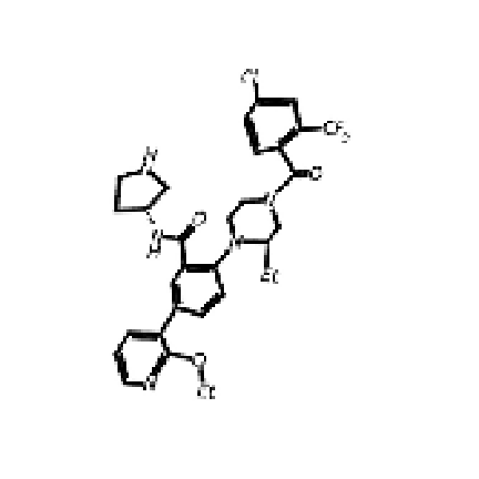 CCOc1ncccc1-c1ccc(N2CCN(C(=O)c3ccc(Cl)cc3C(F)(F)F)C[C@H]2CC)c(C(=O)N[C@@H]2CCNC2)c1